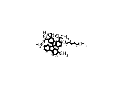 CCCCCCOc1ccc(C2(c3ccc(C)c(C(C)=O)c3)c3cc(C)ccc3-c3ccc(C)cc32)cc1C(C)=O